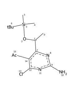 C[C](O[Si](C)(C)C(C)(C)C)c1nc(N)nc(Cl)c1C(C)=O